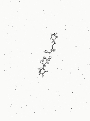 O=C(NCCn1ccnc1)Oc1cc(-c2ccsc2)on1